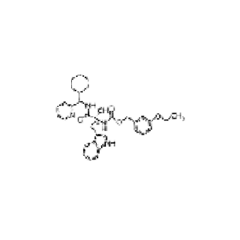 CCOc1cccc(COC(=O)N[C@@](C)(Cc2c[nH]c3ccccc23)C(=O)NC(c2ccccn2)C2CCCCC2)c1